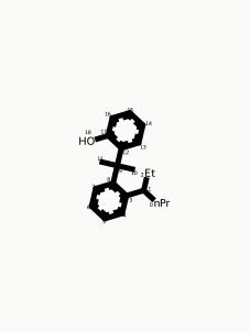 CCCC(CC)c1ccccc1C(C)(C)c1ccccc1O